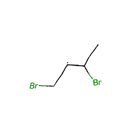 CC(Br)[CH]CBr